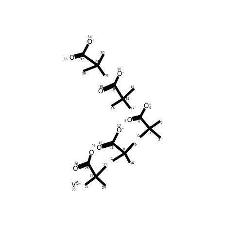 CC(C)(C)C(=O)[O-].CC(C)(C)C(=O)[O-].CC(C)(C)C(=O)[O-].CC(C)(C)C(=O)[O-].CC(C)(C)C(=O)[O-].[V+5]